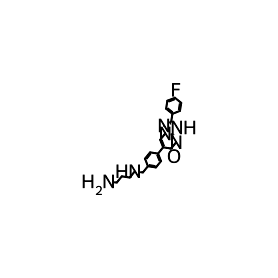 NCCCNCc1ccc(-c2cn3nc(-c4ccc(F)cc4)[nH]c3nc2=O)cc1